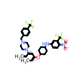 C=C/C(=C\C(=C/C)OC1CCC(Nc2ccc([N+](=O)[O-])c(C(F)(F)F)c2)CC1)N1CCN(Cc2ccc(C(F)(F)F)cc2)CC1